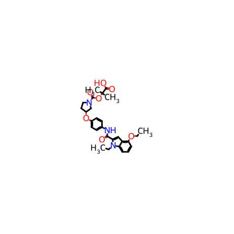 CCOc1cccc2c1cc(C(=O)Nc1ccc(O[C@H]3CCN(C(=O)OC(C)(C)C(=O)O)C3)cc1)n2CC